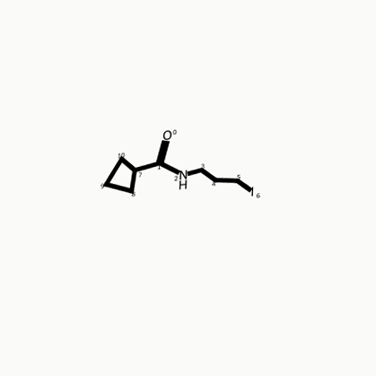 O=C(NCCCI)C1CCC1